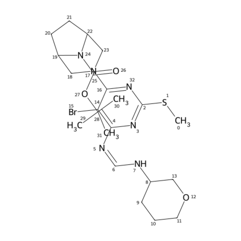 CSc1nc(/N=C\NC2CCCOC2)c(Br)c(N2CC3CCC(C2)N3C(=O)OC(C)(C)C)n1